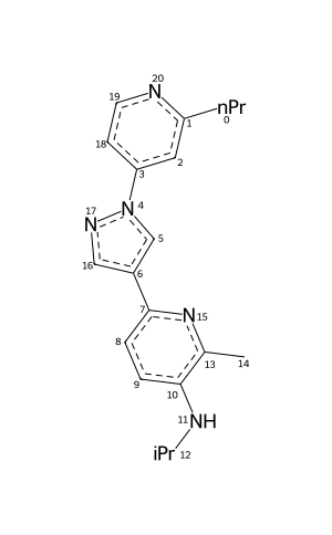 CCCc1cc(-n2cc(-c3ccc(NC(C)C)c(C)n3)cn2)ccn1